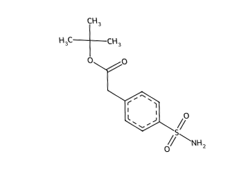 CC(C)(C)OC(=O)Cc1ccc(S(N)(=O)=O)cc1